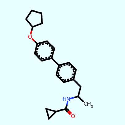 CC(Cc1ccc(-c2ccc(OC3CCCC3)cc2)cc1)NC(=O)C1CC1